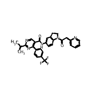 CC(C)c1ncc(C(=O)Nc2ccc3c(c2)CCN3C(=O)Cc2ccccn2)c(-c2ccc(C(F)(F)F)cc2)n1